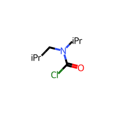 CC(C)CN(C(=O)Cl)C(C)C